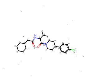 CC(C)C(NC(=O)CC1CCCCC1)C(=O)N1CCC(c2ccc(Cl)cc2)CC1